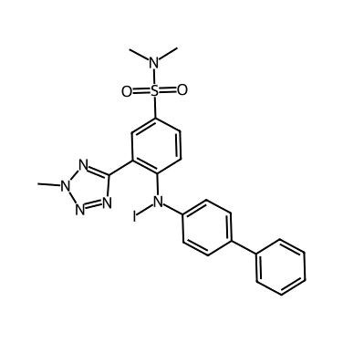 CN(C)S(=O)(=O)c1ccc(N(I)c2ccc(-c3ccccc3)cc2)c(-c2nnn(C)n2)c1